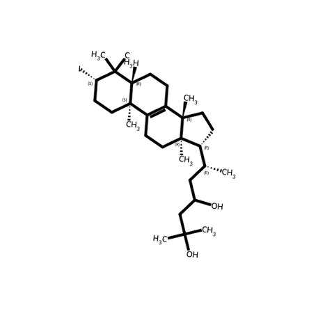 C[C@H](CC(O)CC(C)(C)O)[C@H]1CC[C@@]2(C)C3=C(CC[C@]12C)[C@@]1(C)CC[C@H](I)C(C)(C)[C@@H]1CC3